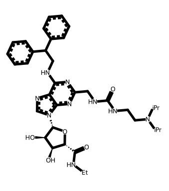 CCNC(=O)[C@H]1O[C@@H](n2cnc3c(NCC(c4ccccc4)c4ccccc4)nc(CNC(=O)NCCN(C(C)C)C(C)C)nc32)[C@H](O)[C@@H]1O